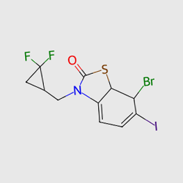 O=C1SC2C(=CC=C(I)C2Br)N1CC1CC1(F)F